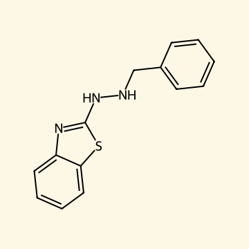 c1ccc(CNNc2nc3ccccc3s2)cc1